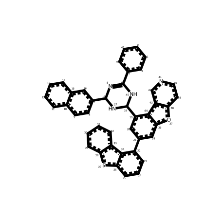 c1ccc(C2=NC(c3ccc4ccccc4c3)NC(c3cc(-c4cccc5sc6ccccc6c45)cc4oc5ccncc5c34)N2)cc1